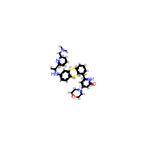 CC(Nc1ccc2c(c1)Sc1cccc(-c3cc(N4CCOCC4)cc(=O)[nH]3)c1S2)c1cccc(CN(C)C)n1